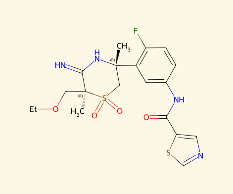 CCOC[C@@]1(C)C(=N)N[C@](C)(c2cc(NC(=O)c3cncs3)ccc2F)CS1(=O)=O